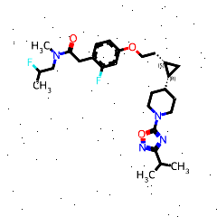 CC(F)CN(C)C(=O)Cc1ccc(OCC[C@@H]2C[C@@H]2C2CCN(c3nc(C(C)C)no3)CC2)cc1F